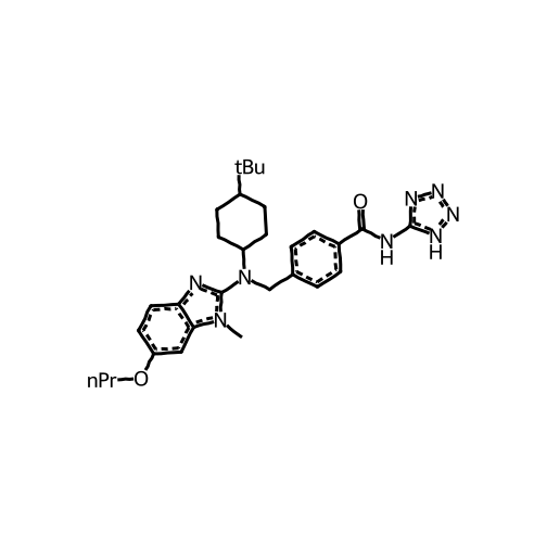 CCCOc1ccc2nc(N(Cc3ccc(C(=O)Nc4nnn[nH]4)cc3)C3CCC(C(C)(C)C)CC3)n(C)c2c1